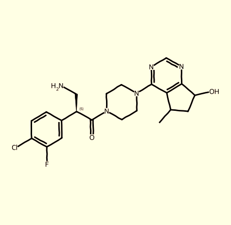 CC1CC(O)c2ncnc(N3CCN(C(=O)[C@H](CN)c4ccc(Cl)c(F)c4)CC3)c21